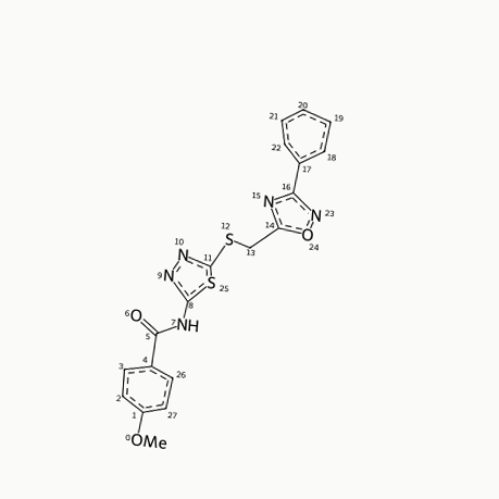 COc1ccc(C(=O)Nc2nnc(SCc3nc(-c4ccccc4)no3)s2)cc1